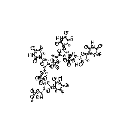 COP(=O)(O)OCC1OC(n2cc(F)c(=O)[nH]c2=O)CC1OP(=O)(OC)OCC1OC(n2cc(F)c(=O)[nH]c2=O)CC1OP(=O)(OC)OCC1OC(n2cc(F)c(=O)[nH]c2=O)CC1OP(=O)(OC)OCC1OC(n2cc(F)c(=O)[nH]c2=O)CC1O